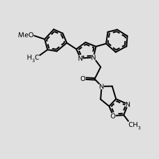 COc1ccc(-c2cc(-c3ccccc3)n(CC(=O)N3Cc4nc(C)oc4C3)n2)cc1C